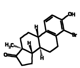 C[C@]12CC[C@@H]3c4ccc(O)c(Br)c4CC[C@H]3[C@@H]1CCC2=O